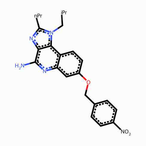 CCCc1nc2c(N)nc3cc(OCc4ccc([N+](=O)[O-])cc4)ccc3c2n1CC(C)C